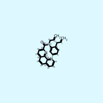 C=CCc1ccccc1N(CC=C)C(=O)c1ccc2ccc3cccnc3c2n1